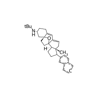 CC(C)(C)N[C@@H]1CCC2=CC3=CC[C@]4(C)C(c5ccc6ccccc6c5)CC[C@H]4C34CC[C@]2(C1)O4